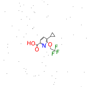 O=C(O)c1ccc(C2CC2)c(OCC(F)(F)F)n1